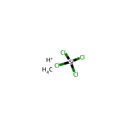 C.Cl[Si](Cl)(Cl)Cl.[H+]